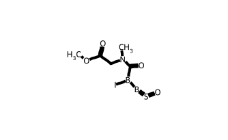 COC(=O)CN(C)C(=O)B(I)B=S=O